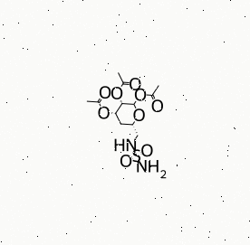 CC(=O)OC1O[C@H](CNS(N)(=O)=O)C[C@H](OC(C)=O)[C@@H]1OC(C)=O